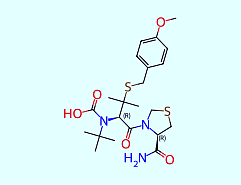 COc1ccc(CSC(C)(C)[C@@H](C(=O)N2CSC[C@H]2C(N)=O)N(C(=O)O)C(C)(C)C)cc1